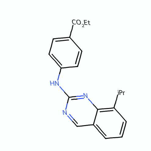 CCOC(=O)c1ccc(Nc2ncc3cccc(C(C)C)c3n2)cc1